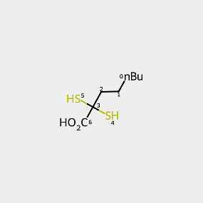 CCCCCCC(S)(S)C(=O)O